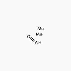 [Mn].[Mo].[O]=[AlH]